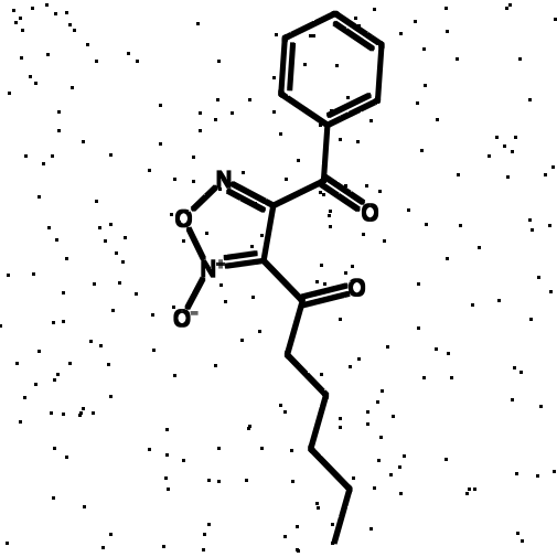 CCCCCC(=O)c1c(C(=O)c2ccccc2)no[n+]1[O-]